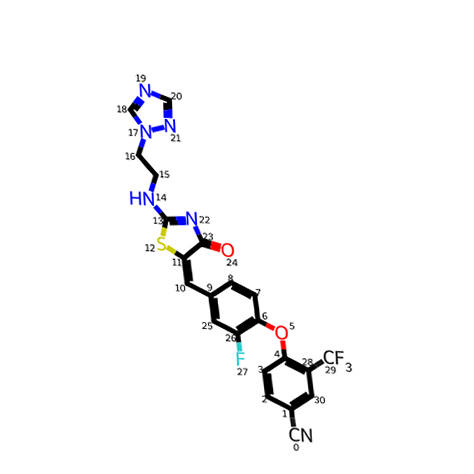 N#Cc1ccc(Oc2ccc(/C=C3/SC(NCCn4cncn4)=NC3=O)cc2F)c(C(F)(F)F)c1